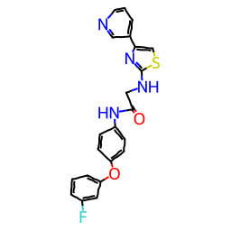 O=C(CNc1nc(-c2cccnc2)cs1)Nc1ccc(Oc2cccc(F)c2)cc1